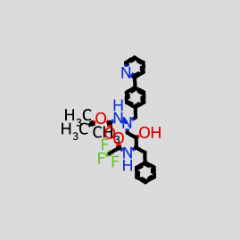 CC(C)(C)OC(=O)NN(Cc1ccc(-c2ccccn2)cc1)CC(O)C(Cc1ccccc1)NC(=O)C(F)(F)F